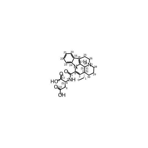 CC[C@@]12C=C(C(=O)N[C@@H](CC(=O)O)C(=O)O)n3c4c(c5ccccc53)CCN(CCC1)[C@H]42